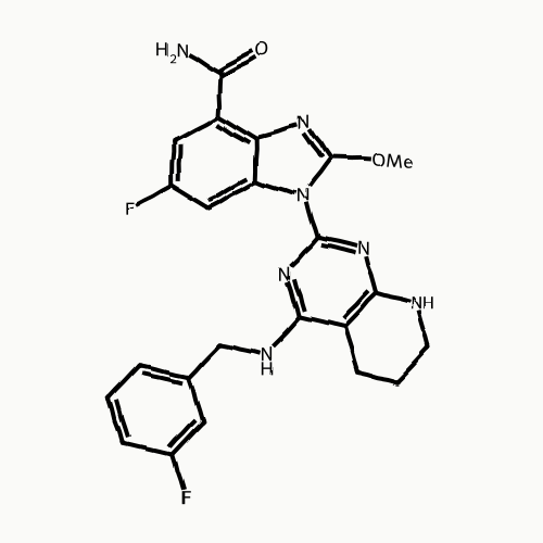 COc1nc2c(C(N)=O)cc(F)cc2n1-c1nc2c(c(NCc3cccc(F)c3)n1)CCCN2